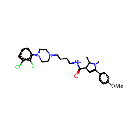 COc1ccc(C2=CC(C(=O)NCCCCN3CCN(c4cccc(Cl)c4Cl)CC3)C(C)N2C)cc1